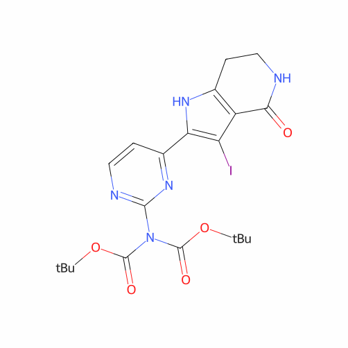 CC(C)(C)OC(=O)N(C(=O)OC(C)(C)C)c1nccc(-c2[nH]c3c(c2I)C(=O)NCC3)n1